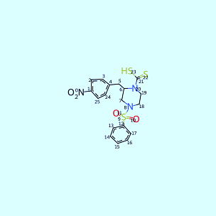 O=[N+]([O-])c1ccc(CC2CN(S(=O)(=O)c3ccccc3)CCN2C(=S)S)cc1